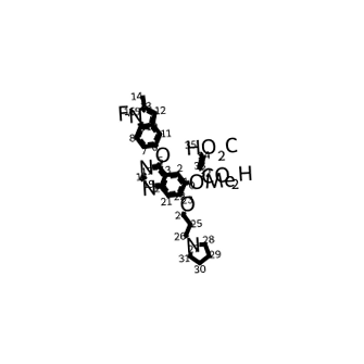 COc1cc2c(Oc3ccc4c(c3)cc(C)n4F)ncnc2cc1OCCCN1CCCC1.O=C(O)C=CC(=O)O